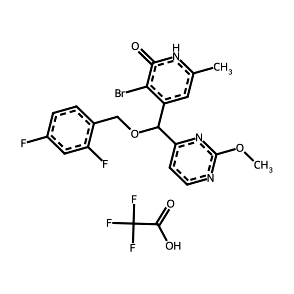 COc1nccc(C(OCc2ccc(F)cc2F)c2cc(C)[nH]c(=O)c2Br)n1.O=C(O)C(F)(F)F